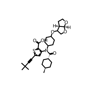 CC(C)(C)C#Cc1cc(N(C(=O)[C@H]2CC[C@H](C)CC2)C2CCC(OC3CO[C@H]4OCC[C@@H]34)CC2)c(C(=O)O)s1